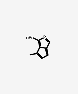 CCCC1=C2C(C)=CC=C2[C]=P1